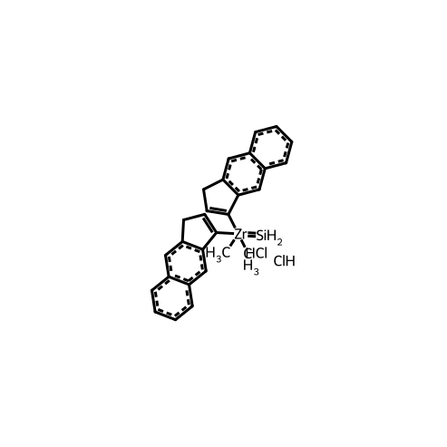 Cl.Cl.[CH3][Zr]([CH3])(=[SiH2])([C]1=CCc2cc3ccccc3cc21)[C]1=CCc2cc3ccccc3cc21